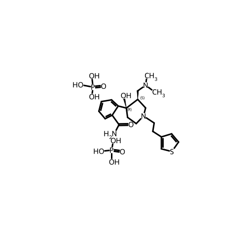 CN(C)C[C@H]1CN(CCc2ccsc2)CC[C@]1(O)c1ccccc1C(N)=O.O=P(O)(O)O.O=P(O)(O)O